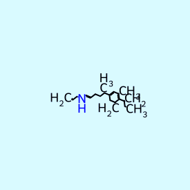 C=CCN/C=C/CCC(C)C1=CC(C)=C(C(=C)CC)C(=C)C1